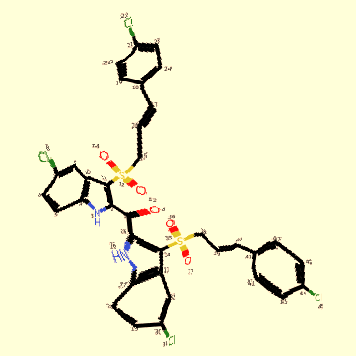 O=C(c1[nH]c2ccc(Cl)cc2c1S(=O)(=O)CC=Cc1ccc(Cl)cc1)c1[nH]c2ccc(Cl)cc2c1S(=O)(=O)CC=Cc1ccc(Cl)cc1